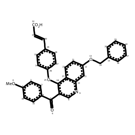 COc1ccc(C(=O)c2cnc3cc(OCc4ccccc4)ccc3c2Oc2ccc(/C=C/C(=O)O)cc2)cc1